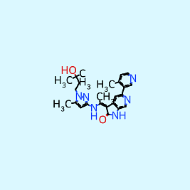 C/C(Nc1cc(C)n(CCC(C)(C)O)n1)=C1/C(=O)Nc2cnc(-c3cnccc3C)cc21